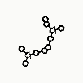 c1ccc(-c2nc(-c3ccccc3)nc(-c3ccc(-c4ccc5ccc(-c6ccc(-c7nc(-c8ccccc8)nc(-c8ccc9ccccc9c8)n7)cc6)cc5c4)cc3)n2)cc1